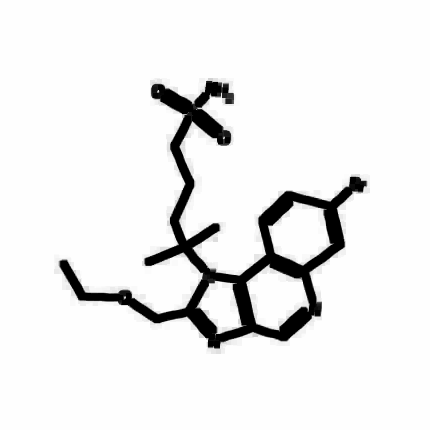 CCOCc1nc2cnc3cc(Br)ccc3c2n1C(C)(C)CCCS(N)(=O)=O